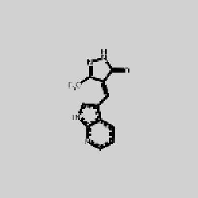 O=C1NN=C(C(F)(F)F)C1=Cc1c[nH]c2ncccc12